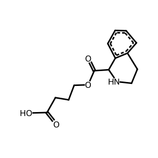 O=C(O)CCCOC(=O)C1NCCc2ccccc21